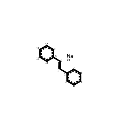 C(=Cc1ccccc1)c1ccccc1.[Na]